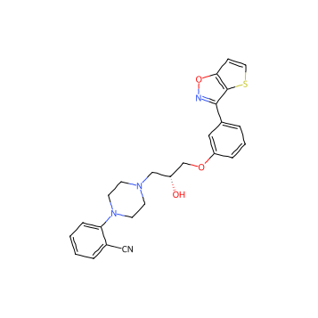 N#Cc1ccccc1N1CCN(C[C@@H](O)COc2cccc(-c3noc4ccsc34)c2)CC1